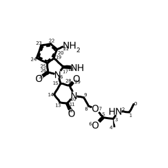 CCN[C@@H](C)C(=O)OCCN1C(=O)CCC(N2C(=N)c3c(N)cccc3C2=O)C1=O